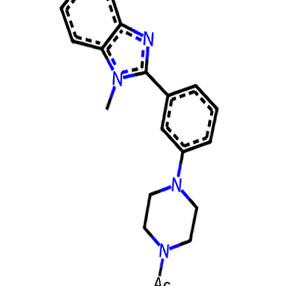 CC(=O)N1CCN(c2cccc(-c3nc4ccccc4n3C)c2)CC1